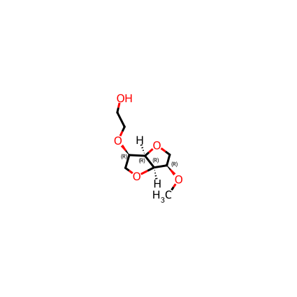 CO[C@@H]1CO[C@H]2[C@@H]1OC[C@H]2OCCO